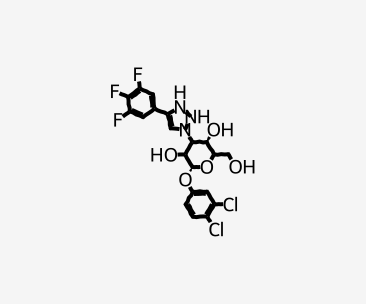 OCC1O[C@H](Oc2ccc(Cl)c(Cl)c2)C(O)C(N2C=C(c3cc(F)c(F)c(F)c3)NN2)[C@H]1O